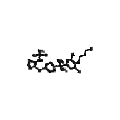 CC(C)(c1ccc(Oc2ocnc2NS(C)(=O)=O)cc1)c1cc(Cl)c(OCCCCl)c(Cl)c1